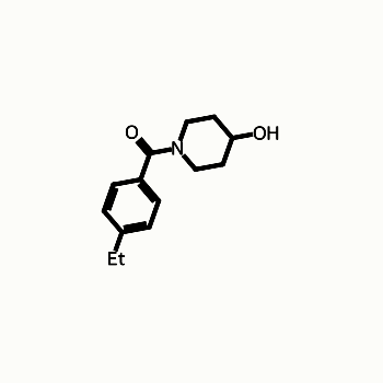 CCc1ccc(C(=O)N2CCC(O)CC2)cc1